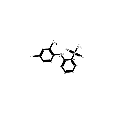 Cc1cc(I)ccc1Nc1ccccc1S(N)(=O)=O